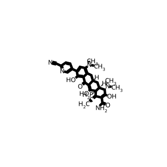 C=C=C1C(C(N)=O)=C(O)[C@@H](N(C)C)[C@@H]2C[C@@H]3Cc4c(N(C)C)cc(-c5ccc(C#N)nc5)c(O)c4C(=O)C3=C(O)[C@]12P